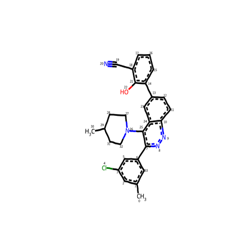 Cc1cc(Cl)cc(-c2nnc3ccc(-c4cccc(C#N)c4O)cc3c2N2CCC(C)CC2)c1